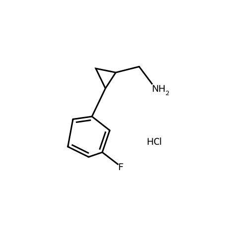 Cl.NCC1CC1c1cccc(F)c1